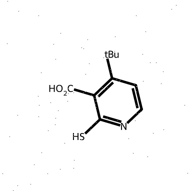 CC(C)(C)c1ccnc(S)c1C(=O)O